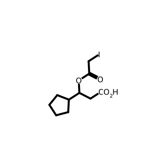 O=C(O)CC(OC(=O)CI)C1CCCC1